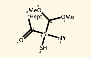 CCCCCCCC(=O)[Si](S)(CCC)C(OC)OC